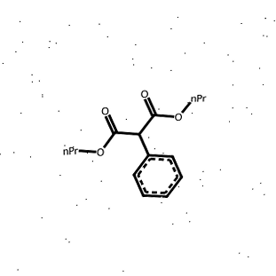 CCCOC(=O)C(C(=O)OCCC)c1ccccc1